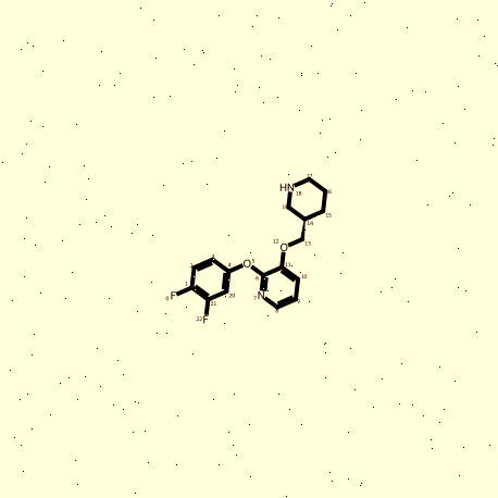 Fc1ccc(Oc2ncccc2OC[C@@H]2CCCNC2)cc1F